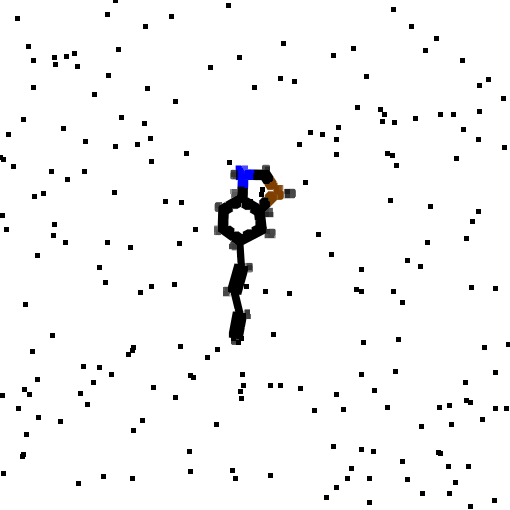 C#CC#Cc1ccc2ncsc2c1